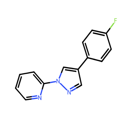 Fc1ccc(-c2cnn(-c3ccccn3)c2)cc1